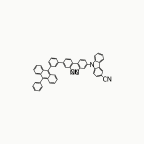 N#Cc1ccc2c(c1)c1ccccc1n2-c1ccc(-c2ccc(-c3cccc(-c4c5ccccc5c(-c5ccccc5)c5ccccc45)c3)cc2C#N)c(C#N)c1